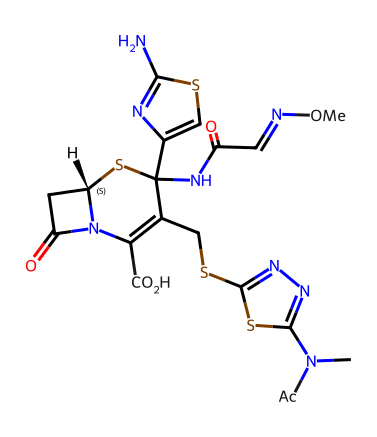 CON=CC(=O)NC1(c2csc(N)n2)S[C@H]2CC(=O)N2C(C(=O)O)=C1CSc1nnc(N(C)C(C)=O)s1